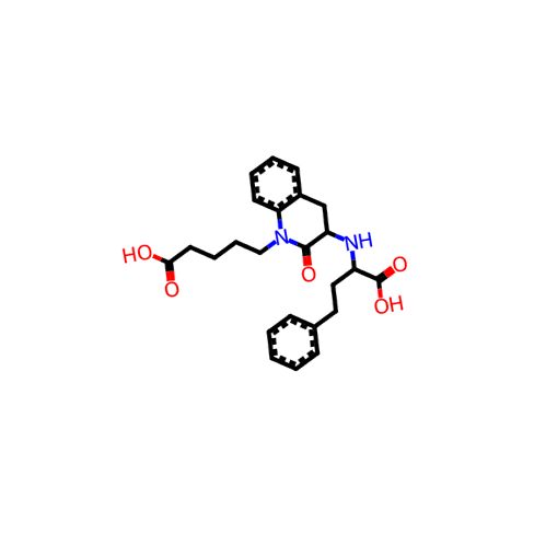 O=C(O)CCCCN1C(=O)C(NC(CCc2ccccc2)C(=O)O)Cc2ccccc21